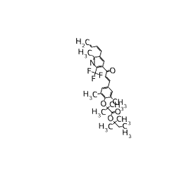 C=C/C=C\c1cc(C(=O)/C=C/c2cc(C)c(OC(C)(C)C(=O)OC(C)(C)CC)c(C)c2)c(C(F)(F)F)nc1C